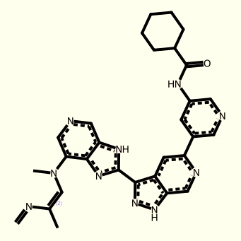 C=N/C(C)=C\N(C)c1cncc2[nH]c(-c3n[nH]c4cnc(-c5cncc(NC(=O)C6CCCCC6)c5)cc34)nc12